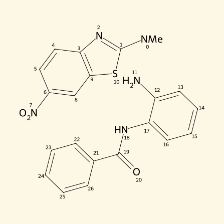 CNc1nc2ccc([N+](=O)[O-])cc2s1.Nc1ccccc1NC(=O)c1ccccc1